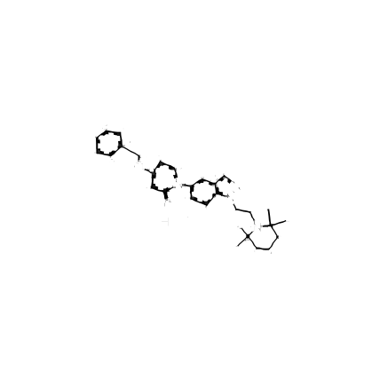 CC1(C)CCCC(C)(C)N1CCn1ncc2cc(-n3ccc(OCc4ccccc4)cc3=O)ccc21.Cl